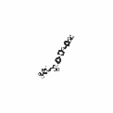 O=[N+]([O-])c1cn(CCC(O)COc2ccc(N3CCC(OCc4ccc(OC(F)(F)F)cc4)CC3)cc2)c(Cl)n1